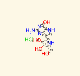 Cl.Nc1nc(O)c2[nH]cc([C@@H]3N[C@H](CO)[C@@H](O)[C@H]3O)c2n1